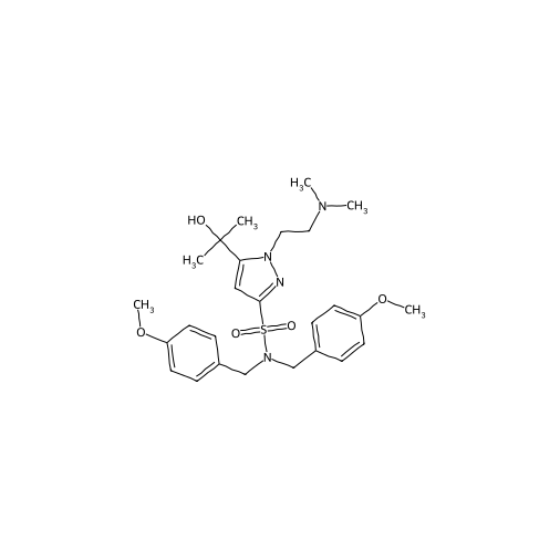 COc1ccc(CN(Cc2ccc(OC)cc2)S(=O)(=O)c2cc(C(C)(C)O)n(CCN(C)C)n2)cc1